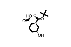 CC(C)(C)OC(=O)N1C[C@H](O)CC[C@@H]1C(=O)O